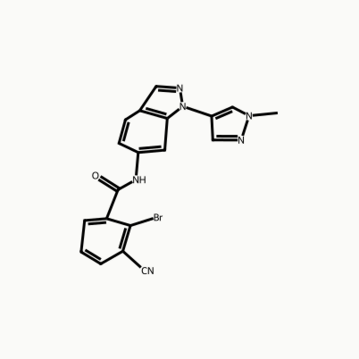 Cn1cc(-n2ncc3ccc(NC(=O)c4cccc(C#N)c4Br)cc32)cn1